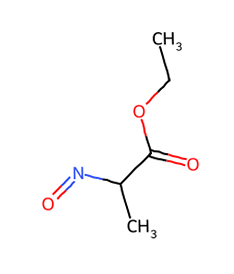 CCOC(=O)C(C)N=O